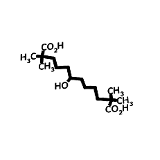 CC(C)(CCCCC(O)CCCC(C)(C)C(=O)O)C(=O)O